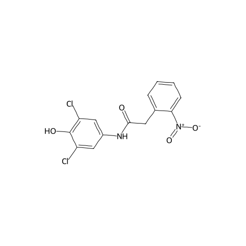 O=C(Cc1ccccc1[N+](=O)[O-])Nc1cc(Cl)c(O)c(Cl)c1